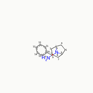 NC1C[C]2CCC(C1)N2Cc1ccccc1